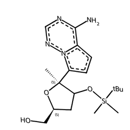 CC(C)(C)[Si](C)(C)OC1C[C@@H](CO)O[C@@]1(C)c1ccc2c(N)ncnn12